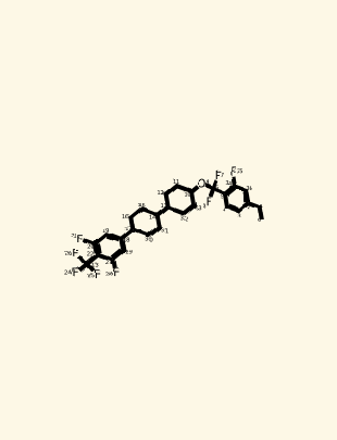 CCc1ccc(C(F)(F)OC2CCC(C3CCC(c4cc(F)c(C(F)(F)F)c(F)c4)CC3)CC2)c(F)c1